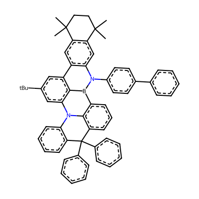 CC(C)(C)c1cc2c3c(c1)N1c4ccccc4C(c4ccccc4)(c4ccccc4)c4cccc(c41)B3N(c1ccc(-c3ccccc3)cc1)c1cc3c(cc1-2)C(C)(C)CCC3(C)C